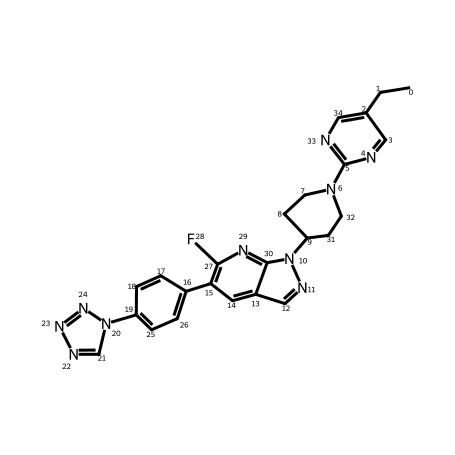 CCc1cnc(N2CCC(n3ncc4cc(-c5ccc(-n6cnnn6)cc5)c(F)nc43)CC2)nc1